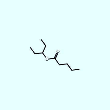 CCCCC(=O)OC(CC)CC